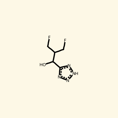 O[C](c1nn[nH]n1)C(CF)CF